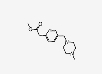 COC(=O)Cc1ccc(CN2CCN(C)CC2)cc1